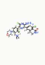 CCN(C)Cc1c(N2CCOCC2)ccc(-c2nc(-c3cc(F)c4c(c3)CCNC4=O)c(N)nc2F)c1F